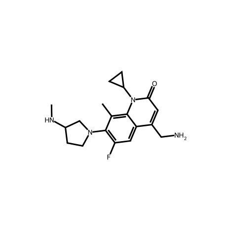 CNC1CCN(c2c(F)cc3c(CN)cc(=O)n(C4CC4)c3c2C)C1